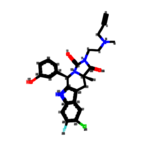 C#CCN(C)CCN1C(=O)N2[C@H](c3cccc(O)c3)c3[nH]c4cc(F)c(Cl)cc4c3C[C@@]2(C)C1=O